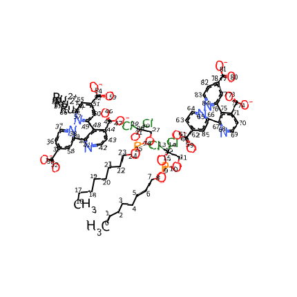 CCCCCCCCOP1OCC(Cl)(Cl)O1.CCCCCCCCOP1OCC(Cl)(Cl)O1.O=C([O-])c1ccnc(-c2nccc(C(=O)[O-])c2-c2cc(C(=O)[O-])ccn2)c1.O=C([O-])c1ccnc(-c2nccc(C(=O)[O-])c2-c2cc(C(=O)[O-])ccn2)c1.[Ru+2].[Ru+2].[Ru+2]